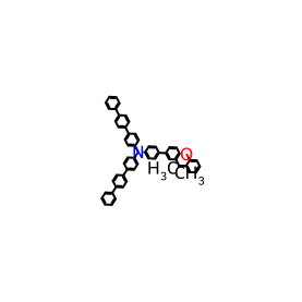 CC1(C)c2ccccc2Oc2ccc(-c3ccc(N(c4ccc(-c5ccc(-c6ccccc6)cc5)cc4)c4ccc(-c5ccc(-c6ccccc6)cc5)cc4)cc3)cc21